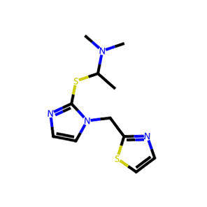 CC(Sc1nccn1Cc1nccs1)N(C)C